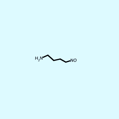 NCCCCN=O